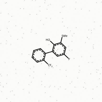 CSc1cc(F)cc(-c2ccccc2C(F)(F)F)c1O